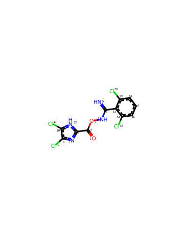 N=C(NOC(=O)c1nc(Cl)c(Cl)[nH]1)c1c(Cl)cccc1Cl